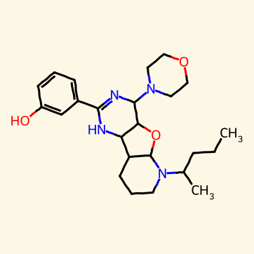 CCCC(C)N1CCCC2C3NC(c4cccc(O)c4)=NC(N4CCOCC4)C3OC21